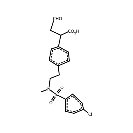 CN(CCc1ccc(C(CC=O)C(=O)O)cc1)S(=O)(=O)c1ccc(Cl)cc1